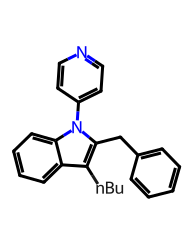 [CH2]CCCc1c(Cc2ccccc2)n(-c2ccncc2)c2ccccc12